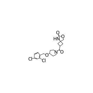 O=C1NC2(CO1)CC(C(=O)N1CCC(OCc3ccc(Cl)cc3Cl)CC1)C2